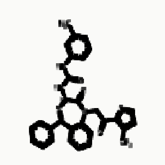 Cc1cccc(NC(=O)N[C@@H]2N=C(c3ccccc3)c3ccccc3N(CC(=O)c3sccc3C)C2=O)c1